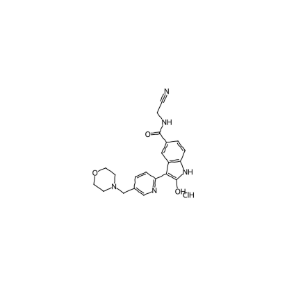 Cl.N#CCNC(=O)c1ccc2[nH]c(O)c(-c3ccc(CN4CCOCC4)cn3)c2c1